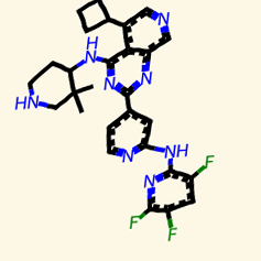 CC1(C)CNCCC1Nc1nc(-c2ccnc(Nc3nc(F)c(F)cc3F)c2)nc2cncc(C3CCC3)c12